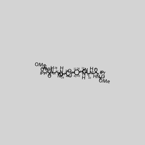 COC(=O)N[C@H](C(=O)CN[C@@H](C)c1ncc(C2CCC(C3OCC(c4cnc([C@@H](C)CNC(=O)[C@@H](NC(=O)OC)C(C)C)[nH]4)CO3)CC2)[nH]1)C(C)C